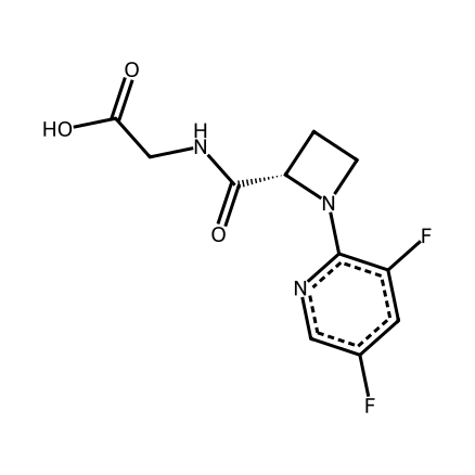 O=C(O)CNC(=O)[C@@H]1CCN1c1ncc(F)cc1F